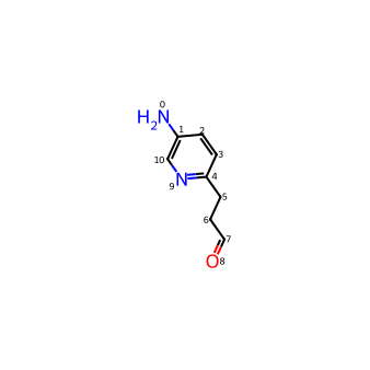 Nc1ccc(CCC=O)nc1